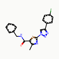 Cc1nc(-n2cc(-c3ccc(F)cc3)nn2)sc1C(=O)NCc1ccccc1